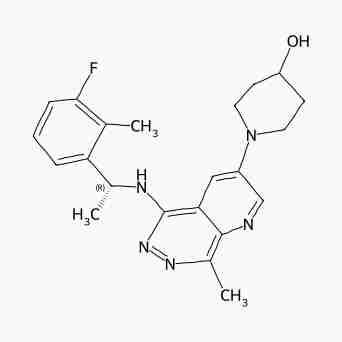 Cc1c(F)cccc1[C@@H](C)Nc1nnc(C)c2ncc(N3CCC(O)CC3)cc12